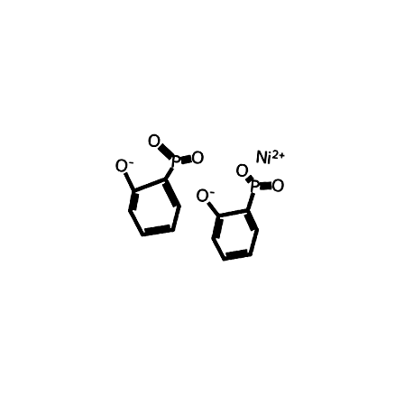 O=P(=O)c1ccccc1[O-].O=P(=O)c1ccccc1[O-].[Ni+2]